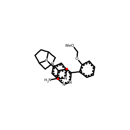 COCOc1ccccc1-c1cc(N2CC3CCC(C2)N3c2ccncc2)c(N)nn1